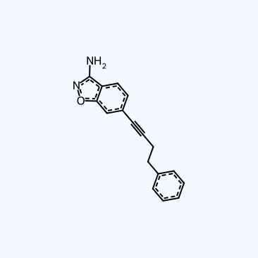 Nc1noc2cc(C#CCCc3ccccc3)ccc12